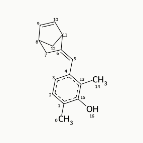 Cc1ccc(C=C2CC3C=CC2C3)c(C)c1O